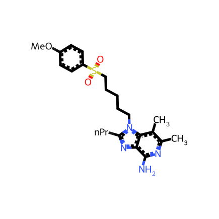 CCCc1nc2c(N)nc(C)c(C)c2n1CCCCCS(=O)(=O)c1ccc(OC)cc1